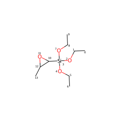 CCO[Si](OCC)(OCC)C1OC1C